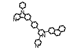 c1ccc(-n2c3ccncc3c3cc(-c4ccc(-c5cc(-c6ccncc6)nc(-c6ccc7c(ccc8ccccc87)c6)c5)cc4)ccc32)cc1